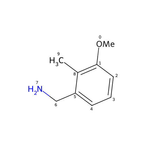 COc1cccc(CN)c1C